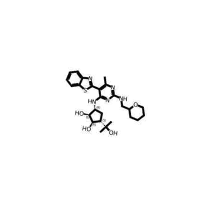 Cc1nc(NCC2CCCCO2)nc(N[C@@H]2C[C@H](C(C)(C)O)[C@@H](O)[C@H]2O)c1-c1nc2ccccc2s1